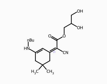 CCCCNC1=C/C(=C(/C#N)C(=O)OCC(O)CO)CC(C)(C)C1